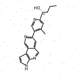 CCC[C@@H](O)c1cc(C)c(-c2cc3cnc4[nH]ccc4c3cn2)cn1